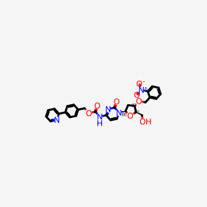 O=C(Nc1ccn([C@H]2C[C@H](OCc3ccccc3[N+](=O)[O-])[C@@H](CO)O2)c(=O)n1)OCc1ccc(-c2ccccn2)cc1